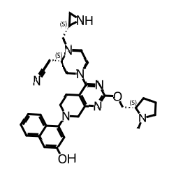 CN1CCC[C@H]1COc1nc2c(c(N3CCN(C[C@@H]4CN4)[C@@H](CC#N)C3)n1)CCN(c1cc(O)cc3ccccc13)C2